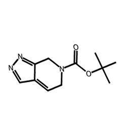 CC(C)(C)OC(=O)N1CC=C2C=NN=C2C1